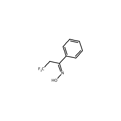 ON=C(CC(F)(F)F)c1ccccc1